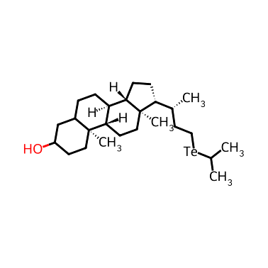 CC(C)[Te]CC[C@@H](C)[C@H]1CC[C@H]2[C@@H]3CCC4CC(O)CC[C@]4(C)[C@H]3CC[C@]12C